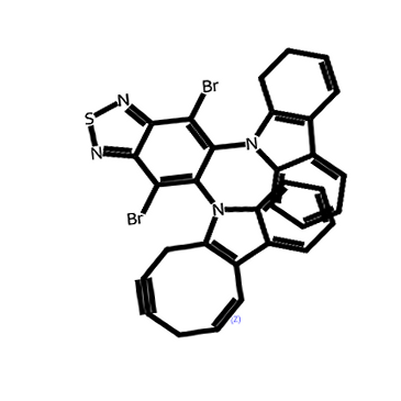 Brc1c(-n2c3c(c4ccccc42)C=CCC3)c(-n2c3c(c4ccccc42)/C=C\CC#CC3)c(Br)c2nsnc12